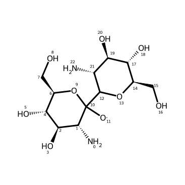 N[C@@H]1[C@@H](O)[C@H](O)[C@@H](CO)OC1([O])C1O[C@H](CO)[C@@H](O)[C@H](O)[C@H]1N